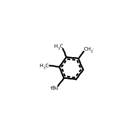 [CH2]c1ccc(C(C)(C)C)c(C)c1C